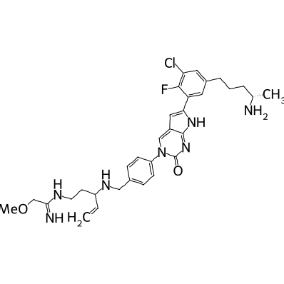 C=CC(CCNC(=N)COC)NCc1ccc(-n2cc3cc(-c4cc(CCC[C@H](C)N)cc(Cl)c4F)[nH]c3nc2=O)cc1